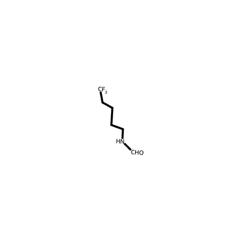 O=CNCCCCC(F)(F)F